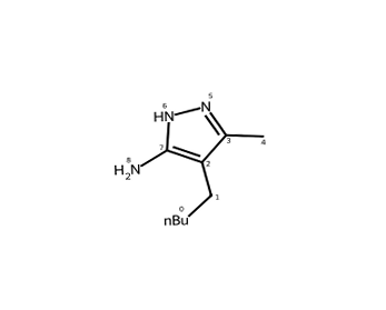 CCCCCc1c(C)n[nH]c1N